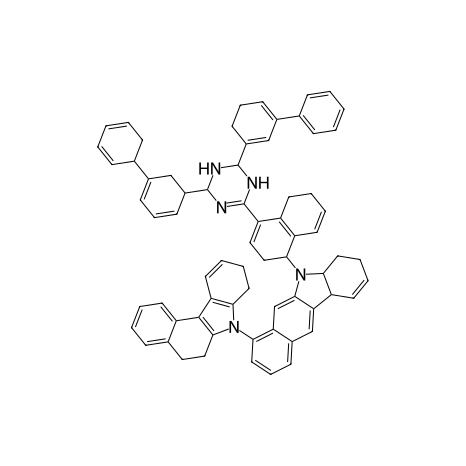 C1=CCC(C2=CC=CC(C3N=C(C4=CCC(N5c6cc7c(-n8c9c(c%10c8CCc8ccccc8-%10)C=CCC9)cccc7cc6C6C=CCCC65)C5=C4CCC=C5)NC(C4=CC(c5ccccc5)=CCC4)N3)C2)C=C1